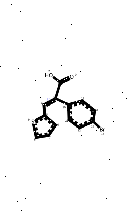 O=C(O)/C(=C/c1cccs1)c1ccc(Br)cc1